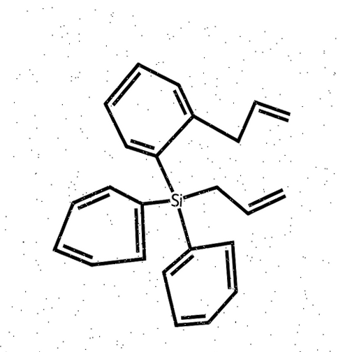 C=CCc1ccccc1[Si](CC=C)(c1ccccc1)c1ccccc1